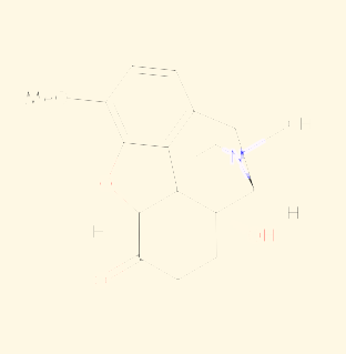 COc1ccc2c3c1O[C@@H]1C(=O)CC[C@]4(O)[C@H](C2)N(C)CC[C@@]314